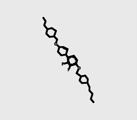 CCCCCC1CCC(COc2ccc(C3C=CC(OCC4CCC(CCC)CC4)CC3)c(F)c2F)CC1